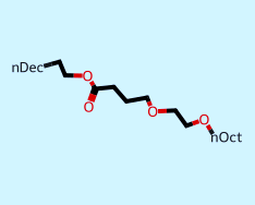 CCCCCCCCCCCCOC(=O)CCCOCCOCCCCCCCC